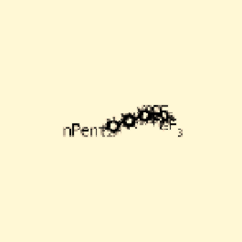 CCCCCC1CCC(C2CCC(c3ccc(OC(F)(F)C(F)C(F)(F)F)cc3)CC2)CC1